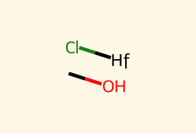 CO.[Cl][Hf]